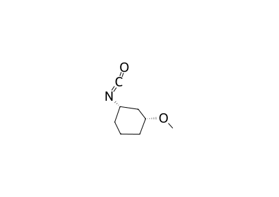 CO[C@@H]1CCC[C@H](N=C=O)C1